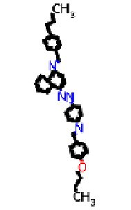 CCCCOc1ccc(C=Nc2ccc(N=Nc3ccc(N=Cc4ccc(CCCC)cc4)c4ccccc34)cc2)cc1